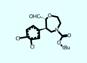 CC(C)(C)OC(=O)N1CCO[C@@H](C=O)[C@H](c2ccc(Cl)c(Cl)c2)C1